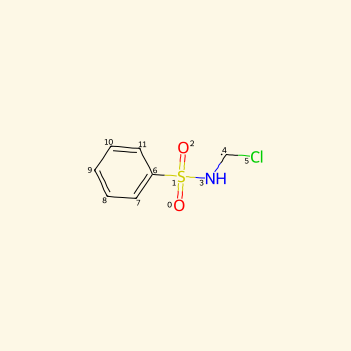 O=S(=O)(N[CH]Cl)c1ccccc1